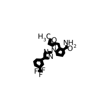 Cc1ccc(Cc2c(Nc3ncc(-c4cccc(C(F)(F)F)c4)cn3)cccc2C(N)=O)o1